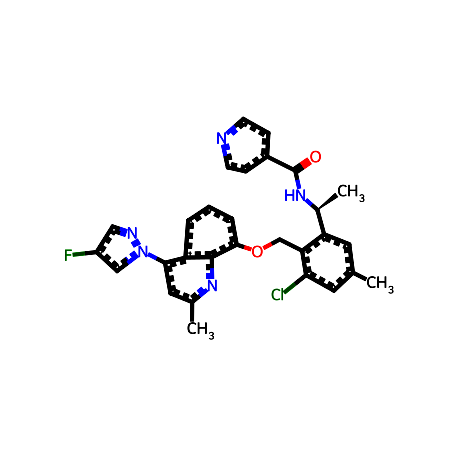 Cc1cc(Cl)c(COc2cccc3c(-n4cc(F)cn4)cc(C)nc23)c([C@H](C)NC(=O)c2ccncc2)c1